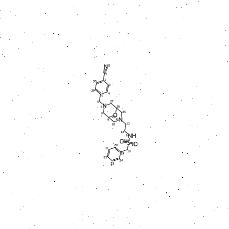 N#Cc1ccc(CN2CC3CN(CCNS(=O)(=O)Cc4ccccc4)CC(C2)O3)cc1